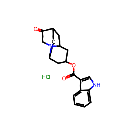 Cl.O=C(OC1CC2CC3CC(C1)N2CC3=O)c1c[nH]c2ccccc12